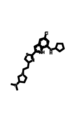 CN(C)C1CCN(CCC2CSC(c3cc4cc(Cl)cc(NC5CCCC5)c4[nH]3)=N2)C1